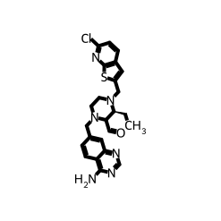 CC[C@H]1C(C=O)N(Cc2ccc3c(N)ncnc3c2)CCN1Cc1cc2ccc(Cl)nc2s1